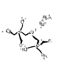 [Ba+2].[O-][Si]([O-])([O-])O[Si]([O-])(O)O.[Pb+2]